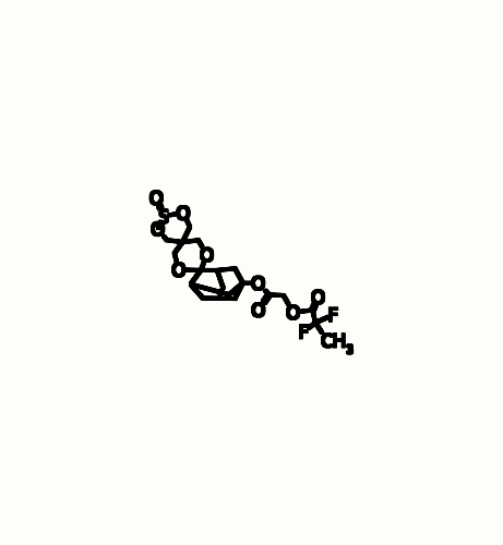 CC(F)(F)C(=O)OCC(=O)OC12CC3CC(C1)C1(OCC4(COS(=O)OC4)CO1)C(C3)C2